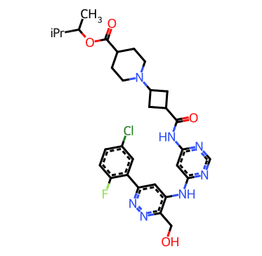 CC(C)C(C)OC(=O)C1CCN(C2CC(C(=O)Nc3cc(Nc4cc(-c5cc(Cl)ccc5F)nnc4CO)ncn3)C2)CC1